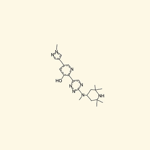 CN(c1ncc(-c2ncc(-c3cnn(C)c3)cc2O)nn1)C1CC(C)(C)NC(C)(C)C1